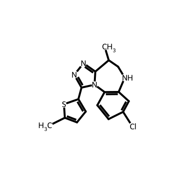 Cc1ccc(-c2nnc3n2-c2ccc(Cl)cc2NCC3C)s1